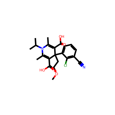 COCCC1(c2cccc(C#N)c2Cl)C(C(=O)O)=C(C)N(C(C)C)C(C)=C1C(=O)O